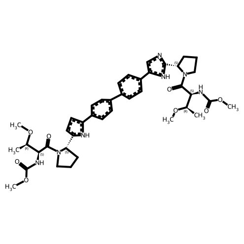 COC(=O)N[C@H](C(=O)N1CCC[C@H]1c1ccc(-c2ccc(-c3ccc(-c4cnc([C@@H]5CCCN5C(=O)[C@@H](NC(=O)OC)[C@@H](C)OC)[nH]4)cc3)cc2)[nH]1)[C@@H](C)OC